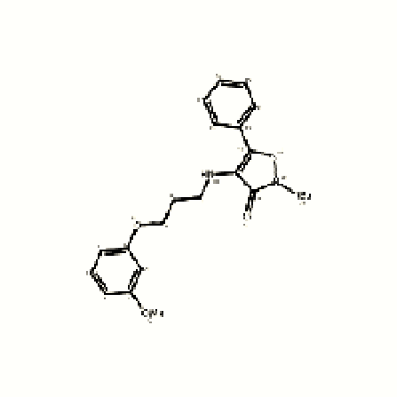 COc1cccc(OCCCNc2c(-c3ccccc3)sn(C(C)(C)C)c2=O)c1